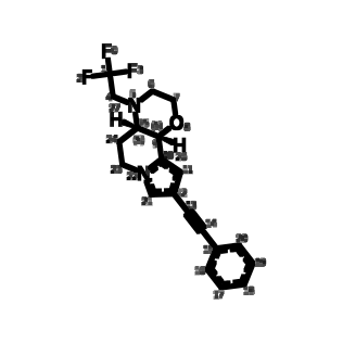 FC(F)(F)CN1CCO[C@@H]2c3cc(C#Cc4ccccc4)cn3CC[C@@H]21